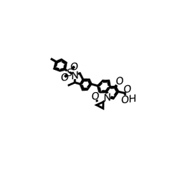 COc1c(-c2ccc3c(c2)CN(S(=O)(=O)c2ccc(C)cc2)C3C)ccc2c(=O)c(C(=O)O)cn(C3CC3)c12